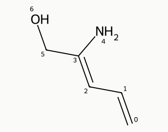 C=C/C=C(\N)CO